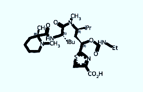 CCNC(=O)O[C@H](C[C@H](C(C)C)N(C)C(=O)[C@@H](NC(=O)[C@@]1(C)CCCCN1C)C(C)CC)c1nc(C(=O)O)cs1